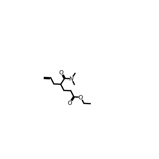 C=CCC(CCC(=O)OCC)C(=O)N(C)C